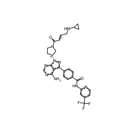 Nc1ncnc2c1c(-c1ccc(C(=O)Nc3cc(C(F)(F)F)ccn3)cc1)nn2[C@@H]1CCN(C(=O)/C=C/CNC2CC2)C1